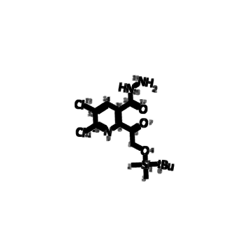 CC(C)(C)[Si](C)(C)OCC(=O)c1nc(Cl)c(Cl)cc1C(=O)NN